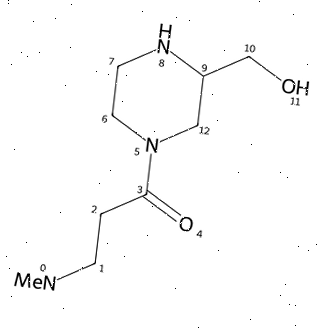 CNCCC(=O)N1CCNC(CO)C1